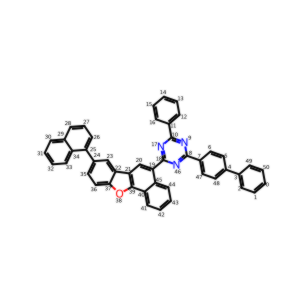 c1ccc(-c2ccc(-c3nc(-c4ccccc4)nc(-c4cc5c6cc(-c7cccc8ccccc78)ccc6oc5c5ccccc45)n3)cc2)cc1